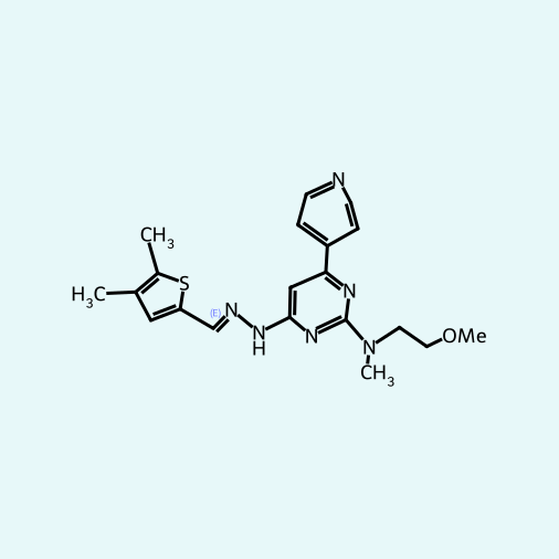 COCCN(C)c1nc(N/N=C/c2cc(C)c(C)s2)cc(-c2ccncc2)n1